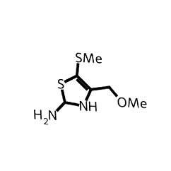 COCC1=C(SC)SC(N)N1